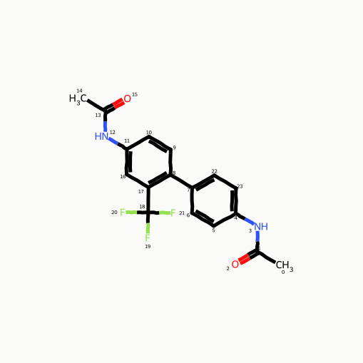 CC(=O)Nc1ccc(-c2ccc(NC(C)=O)cc2C(F)(F)F)cc1